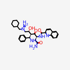 NC(=O)C[C@H](NC(=O)c1ccc2ccccc2n1)C(=O)[C@@H](C(N)c1ccccc1)[C@@H](O)CN(N)CC1CCCCC1